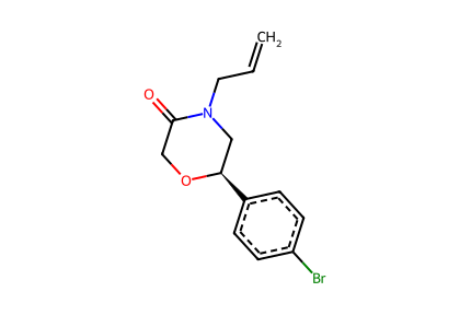 C=CCN1C[C@@H](c2ccc(Br)cc2)OCC1=O